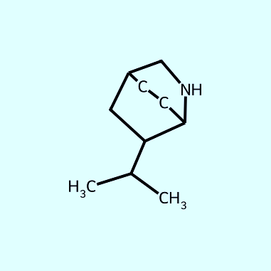 CC(C)C1CC2CCC1NC2